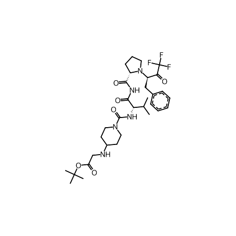 CC(C)[C@H](NC(=O)N1CCC(NCC(=O)OC(C)(C)C)CC1)C(=O)NC(=O)[C@@H]1CCCN1[C@H](Cc1ccccc1)C(=O)C(F)(F)F